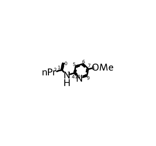 C=C(CCC)Nc1ccc(OC)cn1